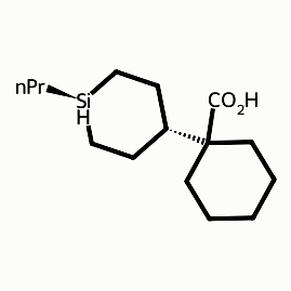 CCC[Si@H]1CC[C@H](C2(C(=O)O)CCCCC2)CC1